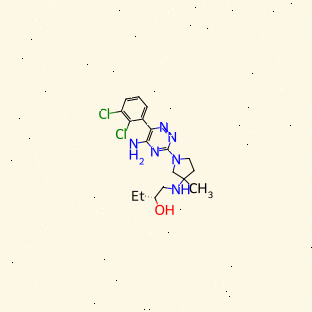 CC[C@@H](O)CNC1(C)CCN(c2nnc(-c3cccc(Cl)c3Cl)c(N)n2)C1